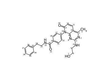 Cc1nc(NCCO)nc2c1ccc(=O)n2-c1ccc(C(=O)NCCc2ccccc2)cc1